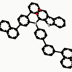 c1ccc(-c2ccc(-c3cccc4ccccc34)cc2N(c2ccc(-c3cccc(-c4cccc5ccccc45)c3)cc2)c2cccc3c2sc2ccccc23)cc1